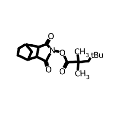 CC(C)(C)CC(C)(C)C(=O)ON1C(=O)C2C3CCC(C3)C2C1=O